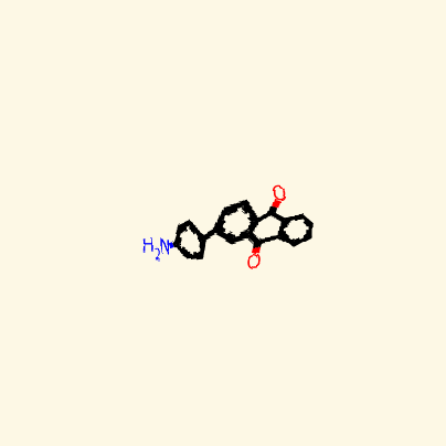 Nc1ccc(-c2ccc3c(c2)C(=O)c2ccccc2C3=O)cc1